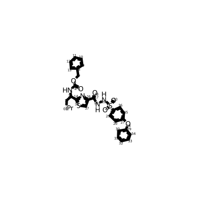 CC(C)CC(NC(=O)OCc1ccccc1)c1nc(C(=O)NNS(=O)(=O)c2ccc(Oc3ccccc3)cc2)cs1